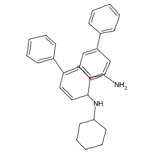 N/C=C/C=C(\C=C/C(NC1CCCCC1)c1ccc(-c2ccccc2)cc1)c1ccccc1